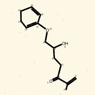 C=C(C)C(=O)CCC(O)COC1=CCCC=C1